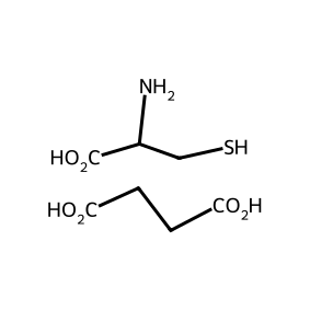 NC(CS)C(=O)O.O=C(O)CCC(=O)O